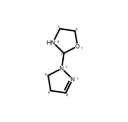 C1=NN(C2NCCO2)CC1